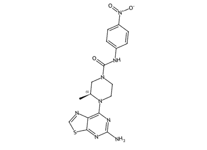 C[C@H]1CN(C(=O)Nc2ccc([N+](=O)[O-])cc2)CCN1c1nc(N)nc2scnc12